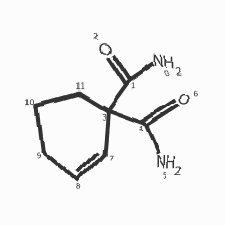 NC(=O)C1(C(N)=O)C=CCCC1